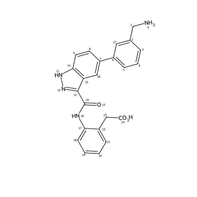 NCc1cccc(-c2ccc3[nH]nc(C(=O)Nc4ccccc4CC(=O)O)c3c2)c1